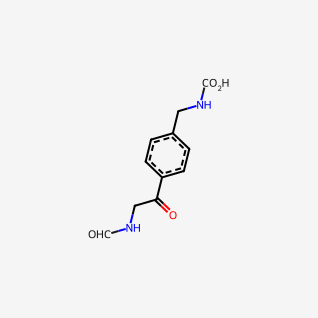 O=CNCC(=O)c1ccc(CNC(=O)O)cc1